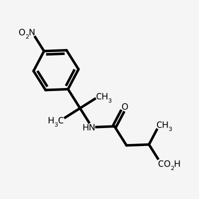 CC(CC(=O)NC(C)(C)c1ccc([N+](=O)[O-])cc1)C(=O)O